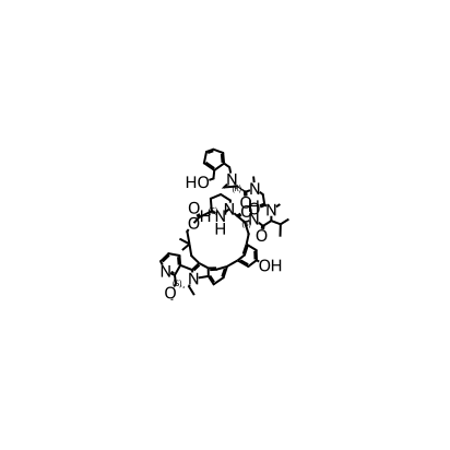 CCn1c(-c2cccnc2[C@H](C)OC)c2c3cc(ccc31)-c1cc(O)cc(c1)C[C@H](NC(=O)C(C(C)C)N(C)C(=O)CN(C)C(=O)[C@H]1CN1Cc1ccccc1CO)C(=O)N1CCC[C@H](N1)C(=O)OCC(C)(C)C2